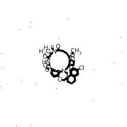 COC1CCC(=O)N(C)C(C)C(=O)NS(=O)(=O)c2ccc3c(c2)N(C[C@@H]2CC[C@@H]12)C[C@@]1(CCCc2cc(Cl)ccc21)CO3